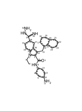 CCn1c(C(=O)Nc2ccc(N)cc2)c(Cc2cccc3ccccc23)c2cc(C(=N)NN)ccc21